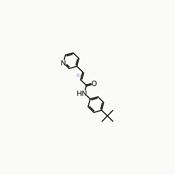 CC(C)(C)c1ccc(NC(=O)/C=C/c2cccnc2)cc1